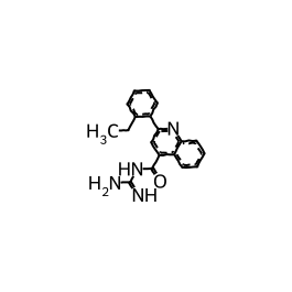 CCc1ccccc1-c1cc(C(=O)NC(=N)N)c2ccccc2n1